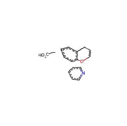 C1=COc2ccccc2C1.CC(=O)O.c1ccncc1